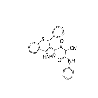 N#CC(C(=O)Nc1ccccc1)C(=O)c1n[nH]c2c1C(c1ccccc1)Sc1ccccc1-2